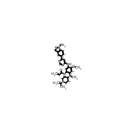 C=CC(=O)Nc1cc(Nc2cc(-c3ccc4c(cnn4C)c3)ncn2)c(OC)cc1N(C)C1CCN(C(C)C)CC1